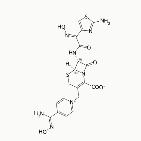 NC(=NO)c1cc[n+](CC2=C(C(=O)[O-])N3C(=O)[C@@H](NC(=O)C(=NO)c4csc(N)n4)[C@@H]3SC2)cc1